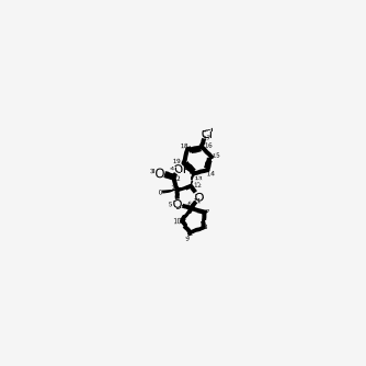 C[C@]1(C(=O)O)OC2(CCCC2)O[C@@H]1c1ccc(Cl)cc1